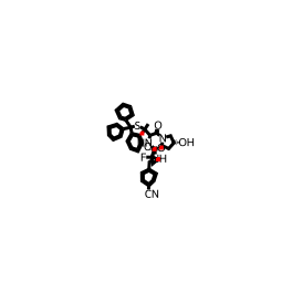 CC(C)(SC(c1ccccc1)(c1ccccc1)c1ccccc1)C(NC(=O)C1(F)CC1)C(=O)N1C[C@H](O)C[C@H]1C(=O)NCc1ccc(C#N)cc1